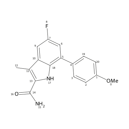 COc1ccc(-c2cc(F)cc3c(C)c(C(N)=O)[nH]c23)cc1